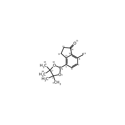 CC1(C)OB(c2ccc(F)c3c2CCC3=O)OC1(C)C